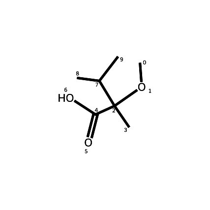 COC(C)(C(=O)O)C(C)C